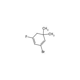 CC1(C)C=C(Br)C=C(F)C1